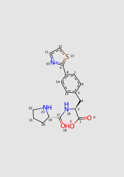 O=C(O)[C@H](Cc1ccc(-c2nccs2)cc1)NC(=O)[C@@H]1CCCN1